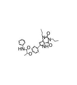 CCCn1c(=O)c2[nH]c(-c3ccc(OC(C)C(=O)Nc4ccccc4)cc3)cc2n(CCC)c1=O